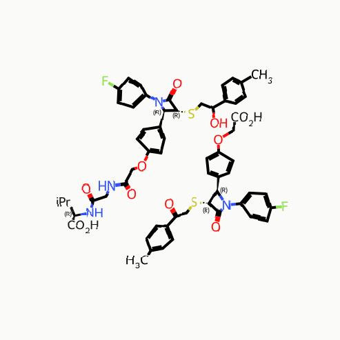 Cc1ccc(C(=O)CS[C@H]2C(=O)N(c3ccc(F)cc3)[C@@H]2c2ccc(OCC(=O)O)cc2)cc1.Cc1ccc(C(O)CS[C@H]2C(=O)N(c3ccc(F)cc3)[C@@H]2c2ccc(OCC(=O)NCC(=O)N[C@@H](C(=O)O)C(C)C)cc2)cc1